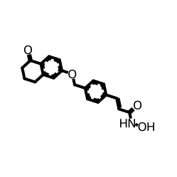 O=C(/C=C/c1ccc(COc2ccc3c(c2)CCCC3=O)cc1)NO